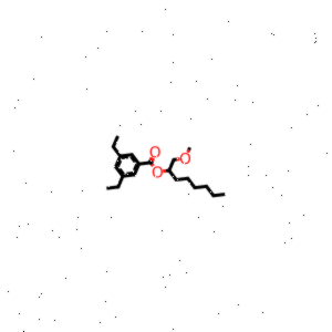 CCCCCCC(COC)OC(=O)c1cc(CC)cc(CC)c1